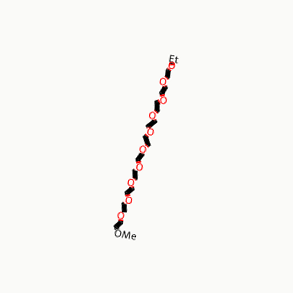 CCOCCOCCOCCOCCOCCOCCOCCOCCOCCOCCOC